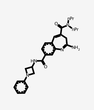 CCCN(CCC)C(=O)C1=Cc2ccc(C(=O)NC3CN(c4ccccc4)C3)cc2N=C(N)C1